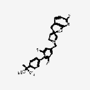 CC(O)(c1ccc(-c2c(F)cc(CN3CCC4(Cc5ccc(F)nc5O4)C3)cc2F)cc1)C(F)(F)F